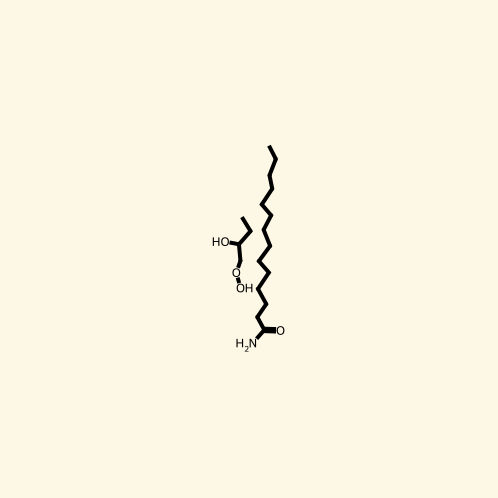 CCC(O)COO.CCCCCCCCCCCCCC(N)=O